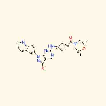 C[C@H]1CN(C(=O)[C@@H]2CC[C@@H](Nc3ncc4c(Br)nn(-c5ccc6ncccc6c5)c4n3)C2)C[C@H](C)O1